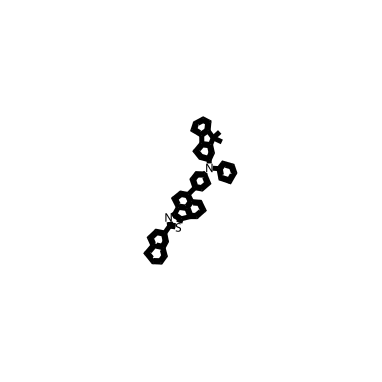 CC1(C)c2ccccc2-c2ccc(N(c3ccccc3)c3ccc(-c4ccc5c6c(cccc46)-c4sc(-c6ccc7ccccc7c6)nc4-5)cc3)cc21